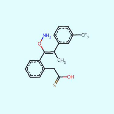 CC(=C(ON)c1ccccc1CC(O)=S)c1cccc(C(F)(F)F)c1